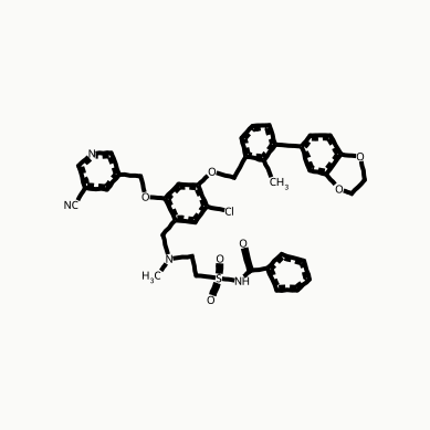 Cc1c(COc2cc(OCc3cncc(C#N)c3)c(CN(C)CCS(=O)(=O)NC(=O)c3ccccc3)cc2Cl)cccc1-c1ccc2c(c1)OCCO2